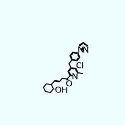 Cc1nc(C(=O)C/C=C/C2CCCC[C@@H]2O)cc(Cc2ccc(-n3cccn3)cc2)c1Cl